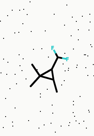 CC1C(C(F)F)C1(C)C